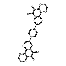 O=c1c(=O)c2oc(-c3ccc(-c4coc5c(o4)c(=O)c(=O)c4occoc45)cc3)coc2c2occoc12